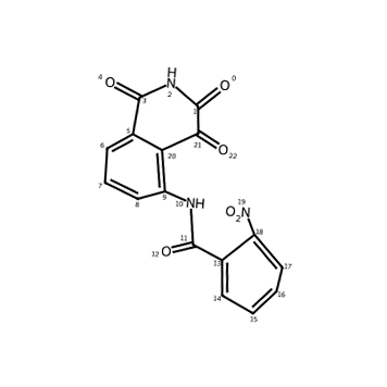 O=C1NC(=O)c2cccc(NC(=O)c3ccccc3[N+](=O)[O-])c2C1=O